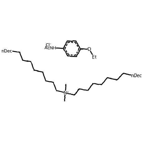 CCCCCCCCCCCCCCCCCC[N+](C)(C)CCCCCCCCCCCCCCCCCC.CCOc1ccc(NC(C)=O)cc1.[Cl-]